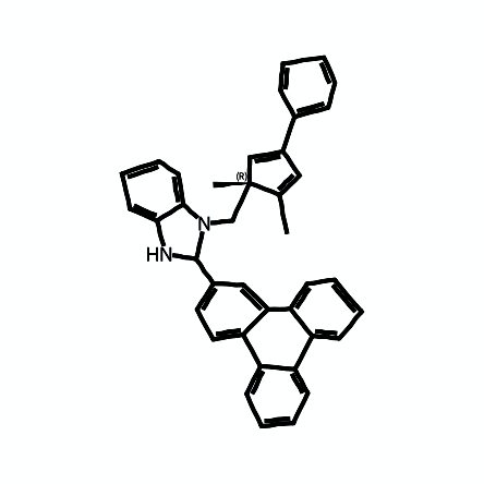 CC1=CC(c2ccccc2)=C[C@@]1(C)CN1c2ccccc2NC1c1ccc2c3ccccc3c3ccccc3c2c1